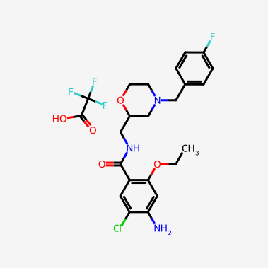 CCOc1cc(N)c(Cl)cc1C(=O)NCC1CN(Cc2ccc(F)cc2)CCO1.O=C(O)C(F)(F)F